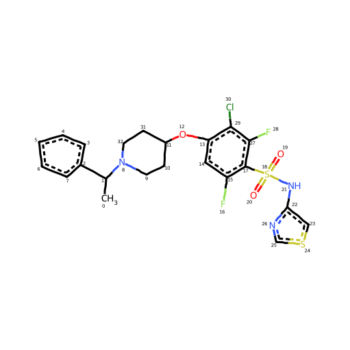 CC(c1ccccc1)N1CCC(Oc2cc(F)c(S(=O)(=O)Nc3cscn3)c(F)c2Cl)CC1